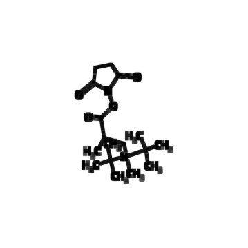 CC(C[Si](C)(C(C)(C)C)C(C)(C)C)C(=O)ON1C(=O)CCC1=O